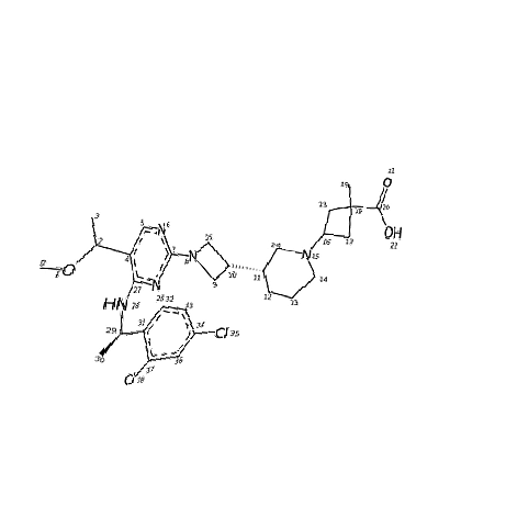 COC(C)c1cnc(N2CC([C@H]3CCCN(C4CC(C)(C(=O)O)C4)C3)C2)nc1N[C@H](C)c1ccc(Cl)cc1Cl